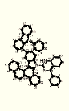 C1=CC2=C(c3ccccc3)N=C(n3c4ccc(-c5cccc6c7ccccc7n(-c7ccccc7)c56)cc4c4c5c6ccccc6ccc5c5ccccc5c43)NC2C=C1